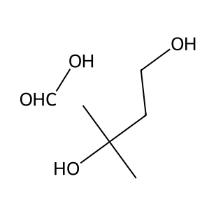 CC(C)(O)CCO.O=CO